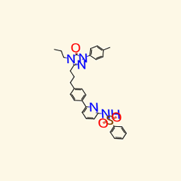 CCCn1c(CCCc2ccc(-c3cccc(NS(=O)(=O)c4ccccc4)n3)cc2)nn(-c2ccc(C)cc2)c1=O